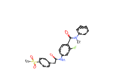 CCN(C(=O)c1ccc(NC(=O)Cc2ccc(S(=O)(=O)CC)cc2)cc1F)c1ccccc1